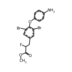 COC(=O)C(F)Cc1cc(Br)c(Oc2ccc(N)cc2)c(Br)c1